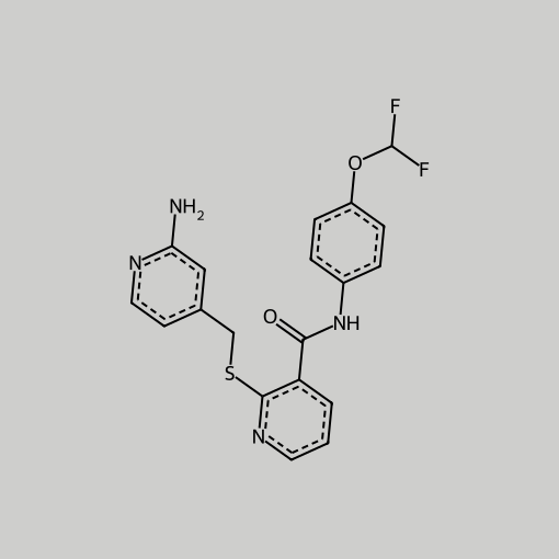 Nc1cc(CSc2ncccc2C(=O)Nc2ccc(OC(F)F)cc2)ccn1